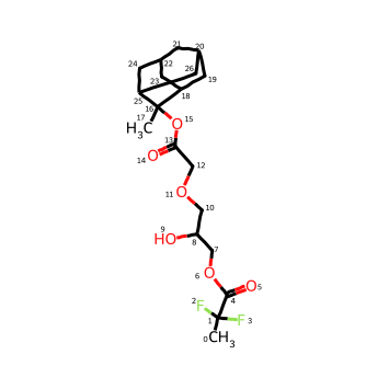 CC(F)(F)C(=O)OCC(O)COCC(=O)OC1(C)C2CC3CC(C2)CC1C3